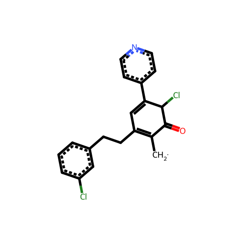 [CH2]C1=C(CCc2cccc(Cl)c2)C=C(c2ccncc2)C(Cl)C1=O